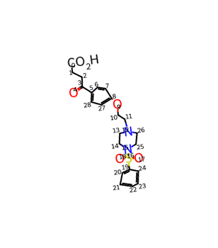 O=C(O)CCC(=O)c1ccc(OCCN2CCN(S(=O)(=O)c3ccccc3)CC2)cc1